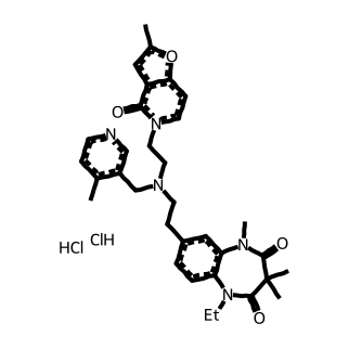 CCN1C(=O)C(C)(C)C(=O)N(C)c2cc(CCN(CCn3ccc4oc(C)cc4c3=O)Cc3cnccc3C)ccc21.Cl.Cl